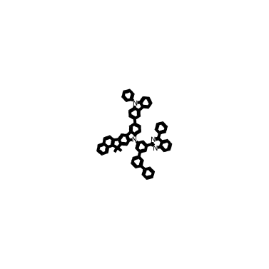 CC1(C)c2cc3c(cc2-c2ccc4ccccc4c21)c1cc(-c2ccc4c(c2)c2ccccc2n4-c2ccccc2)ccc1n3-c1cc(-c2cccc(-c3ccccc3)c2)cc(-c2nc(-c3ccccc3)c3ccccc3n2)c1